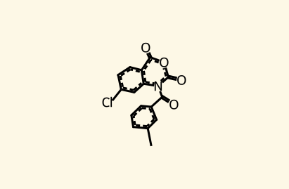 Cc1cccc(C(=O)n2c(=O)oc(=O)c3ccc(Cl)cc32)c1